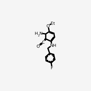 CCOC1=CC=C(NCc2ccc(F)cc2)C(=C=O)C1N